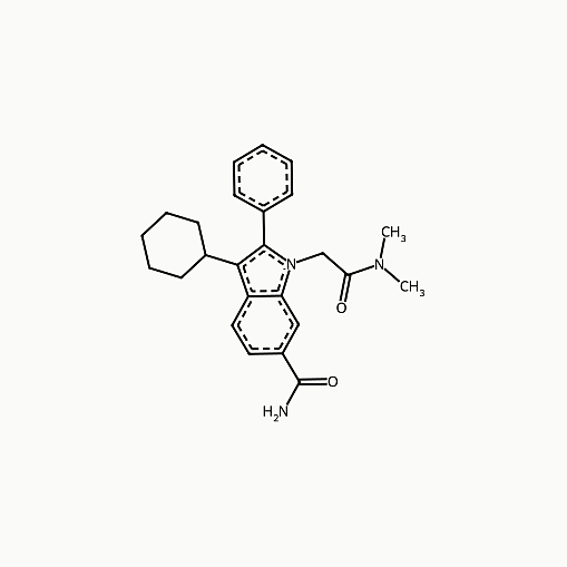 CN(C)C(=O)Cn1c(-c2ccccc2)c(C2CCCCC2)c2ccc(C(N)=O)cc21